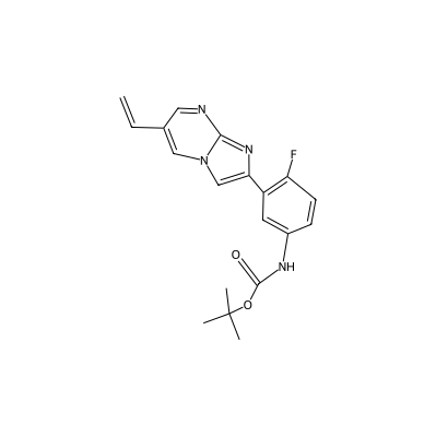 C=Cc1cnc2nc(-c3cc(NC(=O)OC(C)(C)C)ccc3F)cn2c1